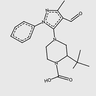 Cc1nn(-c2ccccc2)c(N2CCN(C(=O)O)C(C(C)(C)C)C2)c1C=O